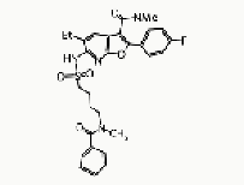 CCc1cc2c(C(=O)NC)c(-c3ccc(F)cc3)oc2nc1NS(=O)(=O)CCCCN(C)C(=O)c1ccccc1